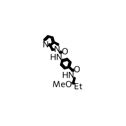 CCC(CNC(=O)c1ccc(NC(=O)N2Cc3cccnc3C2)cc1)OC